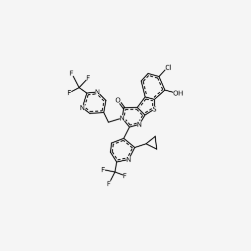 O=c1c2c(nc(-c3ccc(C(F)(F)F)nc3C3CC3)n1Cc1cnc(C(F)(F)F)nc1)sc1c(O)c(Cl)ccc12